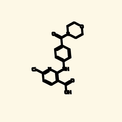 O=C(O)c1ccc(Cl)nc1Nc1ccc(C(=O)N2CCOCC2)cc1